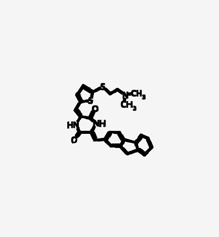 CN(C)CCSc1ccc(C=c2[nH]c(=O)c(=Cc3ccc4c(c3)Cc3ccccc3-4)[nH]c2=O)s1